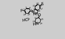 Cl.Fc1ccc(-n2nc(OC3CCNCC3)c3cc(F)ccc32)cc1